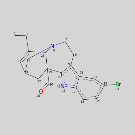 CCC1=CC2CN3CCc4c([nH]c5ccc(Br)cc45)C(C=O)(C2)C13